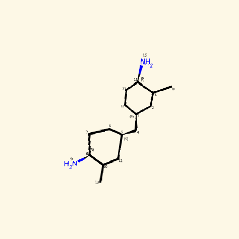 CC1C[C@@H](C[C@@H]2CC[C@H](N)C(C)C2)CC[C@H]1N